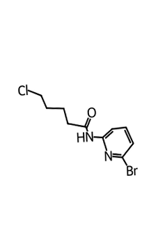 O=C(CCCCCl)Nc1cccc(Br)n1